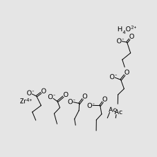 CC(C)=O.CC(C)=O.CCCC(=O)[O-].CCCC(=O)[O-].CCCC(=O)[O-].CCCC(=O)[O-].CCCC(=O)[O-].CCCC(=O)[O-].[OH4+2].[Zr+4]